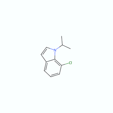 CC(C)n1ccc2cccc(Cl)c21